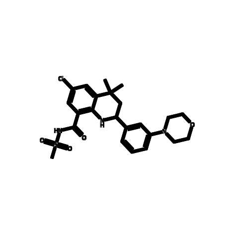 CC1(C)CC(c2cccc(N3CCOCC3)c2)Nc2c(C(=O)NS(C)(=O)=O)cc(Cl)cc21